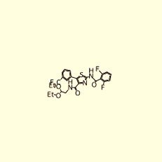 CCOC(CNC(=O)c1nc(NC(=O)c2c(F)cccc2F)sc1-c1cccc(C(F)(F)F)c1)OCC